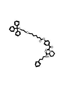 O=C(CCCCCCCCCCSC(c1ccccc1)(c1ccccc1)c1ccccc1)Oc1ccc(C(=O)C(=O)N2CCCCC2C(=O)NCCCc2ccccc2)cc1